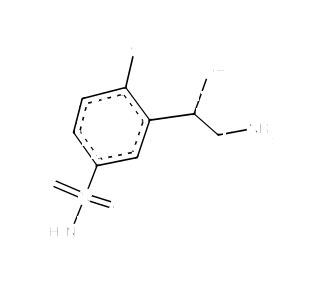 NCC(O)c1cc(S(N)(=O)=O)ccc1Cl